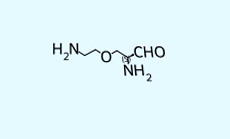 NCCOC[C@H](N)C=O